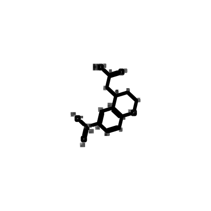 O=C(O)CC1CCOc2ccc([N+](=O)[O-])cc21